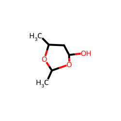 CC1CC(O)OC(C)O1